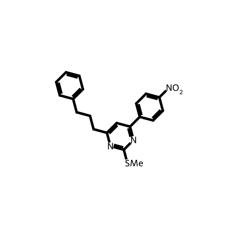 CSc1nc(CCCc2ccccc2)cc(-c2ccc([N+](=O)[O-])cc2)n1